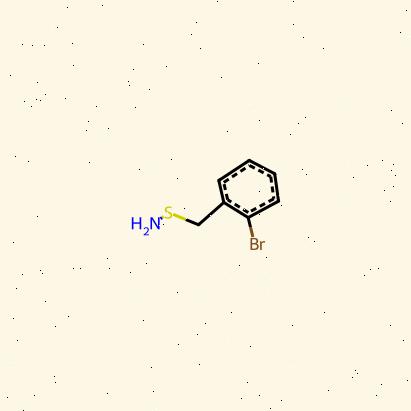 NSCc1ccccc1Br